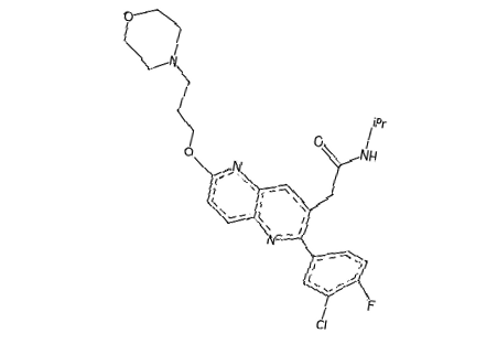 CC(C)NC(=O)Cc1cc2nc(OCCCN3CCOCC3)ccc2nc1-c1ccc(F)c(Cl)c1